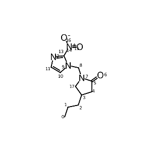 CCCC1CC(=O)N(Cn2ccnc2[N+](=O)[O-])C1